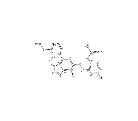 NCc1nccc(-c2cc(COc3cc(F)ccc3CC(=O)O)c(F)c3ccoc23)c1F